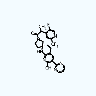 Cc1nc2c(cc1-c1ncccn1)CC[C@@]1(CCN(C(=O)C(C)c3cc(C(F)(F)F)ncc3F)C1)N2